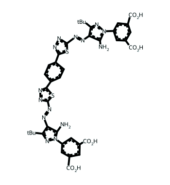 CC(C)(C)c1nn(-c2cc(C(=O)O)cc(C(=O)O)c2)c(N)c1N=Nc1nnc(-c2ccc(-c3nnc(N=Nc4c(C(C)(C)C)nn(-c5cc(C(=O)O)cc(C(=O)O)c5)c4N)s3)cc2)s1